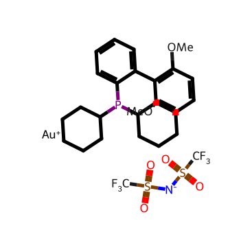 COc1cccc(OC)c1-c1ccccc1P(C1CCCCC1)C1CCCCC1.O=S(=O)([N-]S(=O)(=O)C(F)(F)F)C(F)(F)F.[Au+]